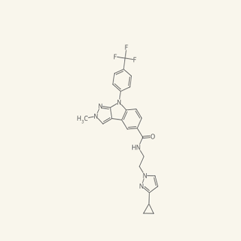 Cn1cc2c3cc(C(=O)NCCn4ccc(C5CC5)n4)ccc3n(-c3ccc(C(F)(F)F)cc3)c2n1